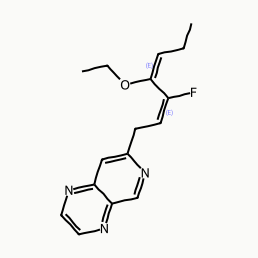 CC/C=C(OCC)\C(F)=C/Cc1cc2nccnc2cn1